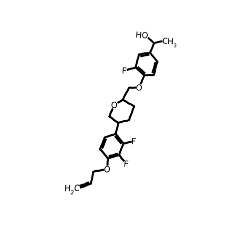 C=CCOc1ccc(C2CCC(COc3ccc(C(C)O)cc3F)OC2)c(F)c1F